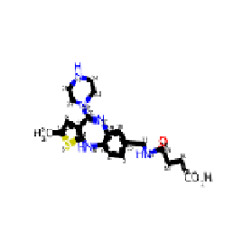 Cc1cc2c(s1)Nc1ccc(CNC(=O)CCC(=O)O)cc1N=C2N1CCNCC1